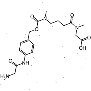 CN(CC(=O)O)C(=O)CCCN(C)C(=O)OCc1ccc(NC(=O)CN)cc1